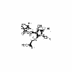 CC(=O)CSc1n(C)c(C)c(C)[n+]1C.O=S(=O)([O-])C(F)(F)F